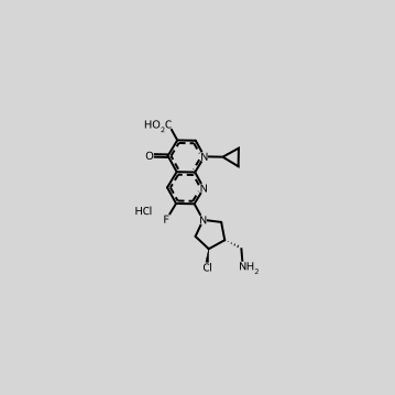 Cl.NC[C@H]1CN(c2nc3c(cc2F)c(=O)c(C(=O)O)cn3C2CC2)C[C@@H]1Cl